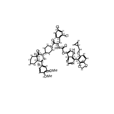 COc1ccc(C2=NN(C3CCN(C(=O)[C@@H](Cc4ccc(Cl)cc4Cl)NC(=O)Oc4c[nH]c5c(-c6c(OCC7CC7)ccc7c6OCO7)ncnc45)CC3)C(=O)[C@@H]3CCCC[C@H]23)cc1OC